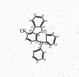 Clc1ccc(N(c2ccccc2)c2ccccc2)c2sc3ccccc3c12